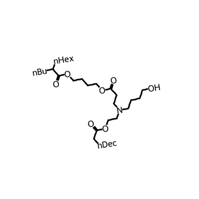 CCCCCCCCCCCC(=O)OCCN(CCCCO)CCC(=O)OCCCCOC(=O)C(CCCC)CCCCCC